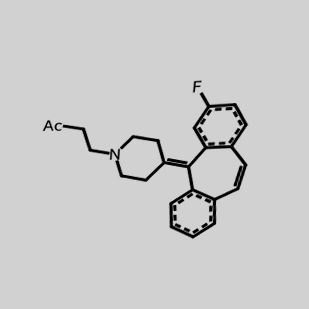 CC(=O)CCN1CCC(=C2c3ccccc3C=Cc3ccc(F)cc32)CC1